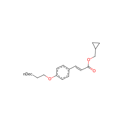 CCCCCCCCCCCCOc1ccc(C=CC(=O)OCC2CC2)cc1